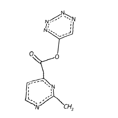 Cc1nccc(C(=O)Oc2cnnnn2)n1